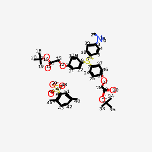 CN(C)c1ccc([S+](c2ccc(OCC(=O)OC(C)(C)C)cc2)c2ccc(OCC(=O)OC(C)(C)C)cc2)cc1.Cc1ccc(C)c(S(=O)(=O)[O-])c1